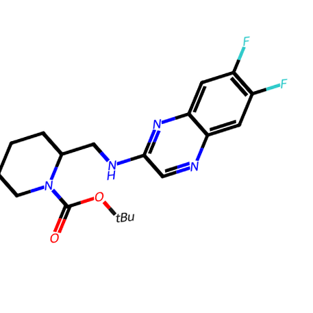 CC(C)(C)OC(=O)N1CCCCC1CNc1cnc2cc(F)c(F)cc2n1